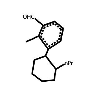 CCCC1CCCCC1c1cccc(C=O)c1C